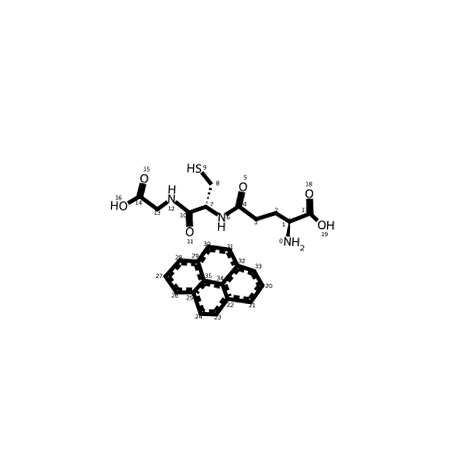 N[C@@H](CCC(=O)N[C@@H](CS)C(=O)NCC(=O)O)C(=O)O.c1cc2ccc3cccc4ccc(c1)c2c34